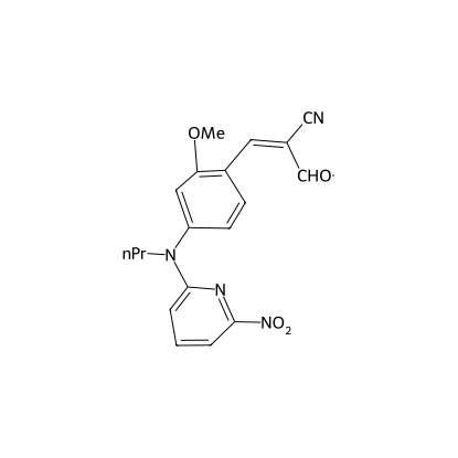 CCCN(c1ccc(/C=C(\[C]=O)C#N)c(OC)c1)c1cccc([N+](=O)[O-])n1